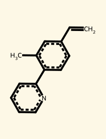 C=Cc1ccc(-c2ccccn2)c(C)c1